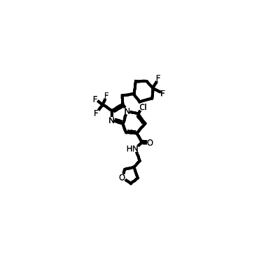 O=C(NCC1CCOC1)c1cc(Cl)n2c(CC3CCC(F)(F)CC3)c(C(F)(F)F)nc2c1